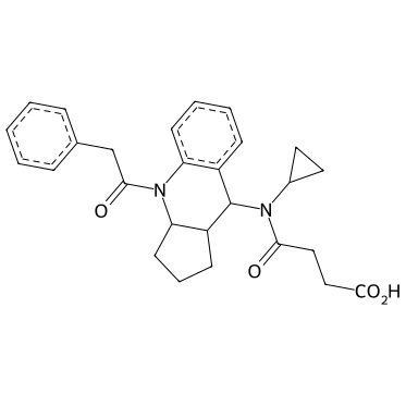 O=C(O)CCC(=O)N(C1CC1)C1c2ccccc2N(C(=O)Cc2ccccc2)C2CCCC21